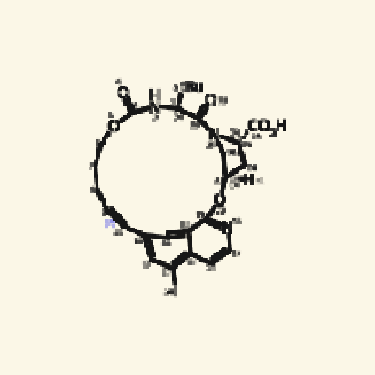 CC(C)(C)[C@@H]1NC(=O)OCCC/C=C\c2cc(I)c3ccnc(c3c2)O[C@@H]2C[C@@H](C(=O)O)N(C2)C1=O